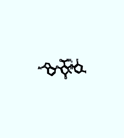 CC(=O)N1CCc2c(Oc3cc(=O)n(C)c(Nc4ccc(I)cc4F)c3C(N)=O)cccc21